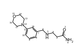 NC(=O)CCNCc1cccc(N2CCOCC2)c1